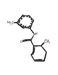 Cc1cccc(NC(=O)C2=CC=CCC2C)c1